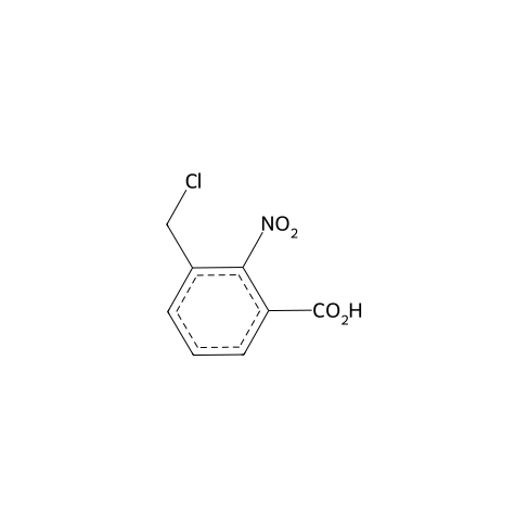 O=C(O)c1cccc(CCl)c1[N+](=O)[O-]